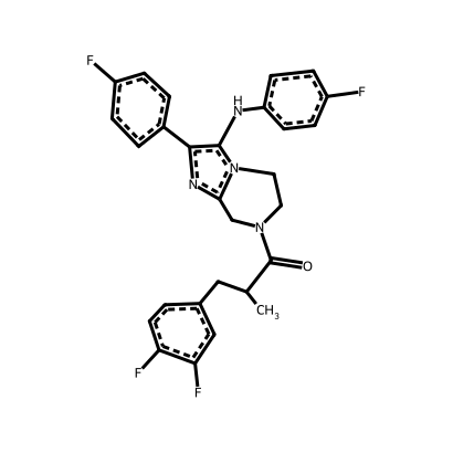 CC(Cc1ccc(F)c(F)c1)C(=O)N1CCn2c(nc(-c3ccc(F)cc3)c2Nc2ccc(F)cc2)C1